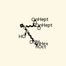 CCCCCCCCC(CCCCCC)CNC(=O)CCCCCN(CCO)CCN(CCCCC(COC(=O)CCCCCCC)COC(=O)CCCCCCC)C1CCC1